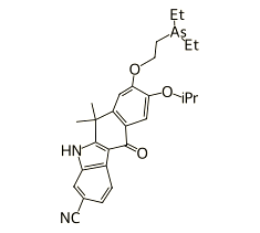 CC[As](CC)CCOc1cc2c(cc1OC(C)C)C(=O)c1c([nH]c3cc(C#N)ccc13)C2(C)C